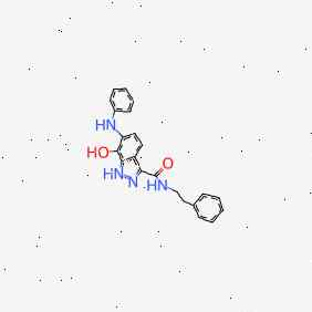 O=C(NCCc1ccccc1)c1n[nH]c2c(O)c(Nc3ccccc3)ccc12